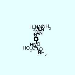 CN(c1ccc(C(=O)N[C@@H](CCC(N)=O)C(=O)O)cc1)c1cnc2nc(N)nc(N)c2n1